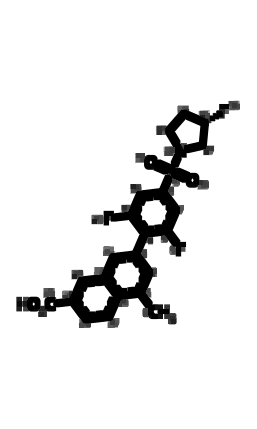 Cc1cc(-c2c(F)cc(S(=O)(=O)N3CC[C@H](F)C3)cc2F)cc2cc(C(=O)O)ccc12